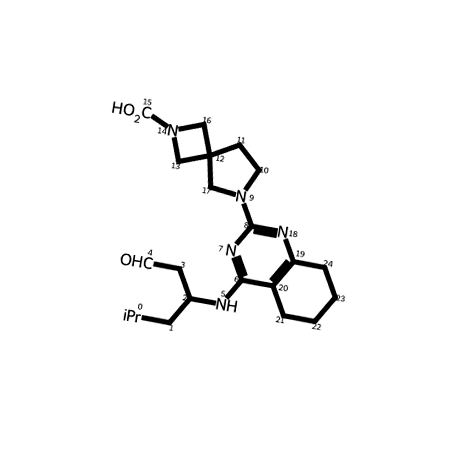 CC(C)CC(CC=O)Nc1nc(N2CCC3(CN(C(=O)O)C3)C2)nc2c1CCCC2